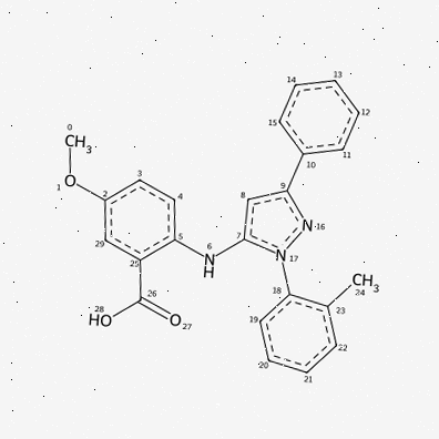 COc1ccc(Nc2cc(-c3ccccc3)nn2-c2ccccc2C)c(C(=O)O)c1